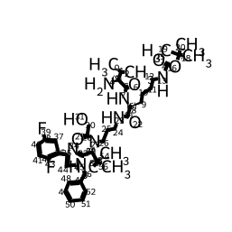 CC(C)[C@H](N)C(=O)N[C@@H](CCCCNC(=O)OC(C)(C)C)C(=O)NCCCN(C(=O)CO)[C@@H](c1nc(-c2cc(F)ccc2F)cn1Cc1ccccc1)C(C)(C)C